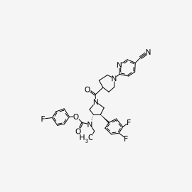 CCN(C(=O)Oc1ccc(F)cc1)[C@@H]1CN(C(=O)C2CCN(c3ccc(C#N)cn3)CC2)C[C@H]1c1ccc(F)c(F)c1